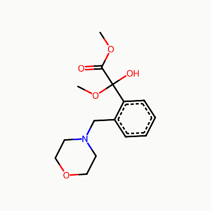 COC(=O)C(O)(OC)c1ccccc1CN1CCOCC1